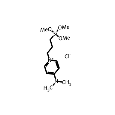 CO[Si](CCC[n+]1ccc(N(C)C)cc1)(OC)OC.[Cl-]